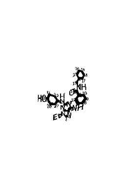 CCn1cnc2c(Nc3cccc(C(=O)NCc4ccccc4)c3)nc(NC3CCC(O)CC3)nc21